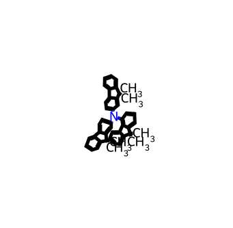 CC1(C)c2ccccc2-c2ccc(N(c3ccc4c(c3)C(C)(C)c3ccccc3-4)c3cccc4c3-c3ccccc3C4(C)C)cc21